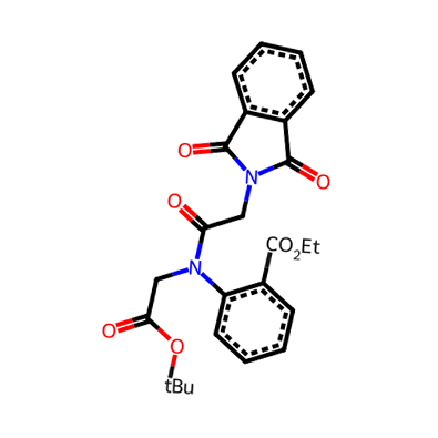 CCOC(=O)c1ccccc1N(CC(=O)OC(C)(C)C)C(=O)CN1C(=O)c2ccccc2C1=O